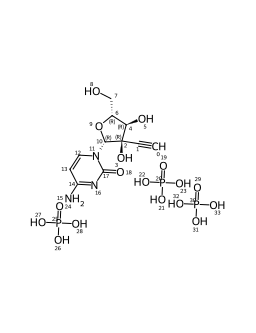 C#C[C@@]1(O)[C@H](O)[C@@H](CO)O[C@H]1n1ccc(N)nc1=O.O=P(O)(O)O.O=P(O)(O)O.O=P(O)(O)O